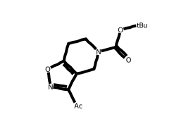 CC(=O)c1noc2c1CN(C(=O)OC(C)(C)C)CC2